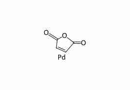 O=C1C=CC(=O)O1.[Pd]